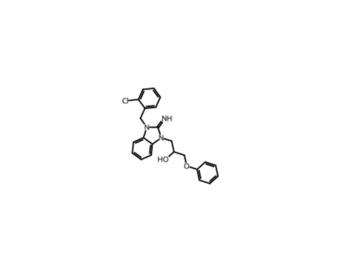 N=c1n(Cc2ccccc2Cl)c2ccccc2n1CC(O)COc1ccccc1